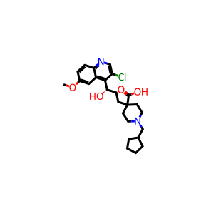 COc1ccc2ncc(Cl)c([C@@H](O)CCC3(C(=O)O)CCN(CC4CCCC4)CC3)c2c1